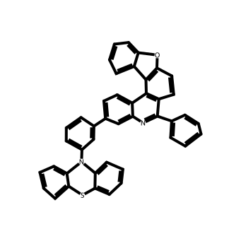 c1ccc(-c2nc3cc(-c4cccc(N5c6ccccc6Sc6ccccc65)c4)ccc3c3c2ccc2oc4ccccc4c23)cc1